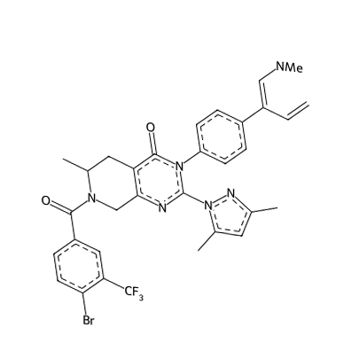 C=C/C(=C\NC)c1ccc(-n2c(-n3nc(C)cc3C)nc3c(c2=O)CC(C)N(C(=O)c2ccc(Br)c(C(F)(F)F)c2)C3)cc1